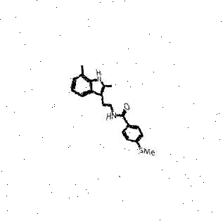 CSc1ccc(C(=O)NCCc2c(C)[nH]c3c(C)cccc23)cc1